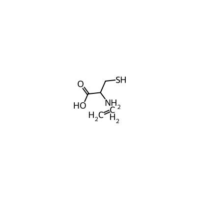 C=C.NC(CS)C(=O)O